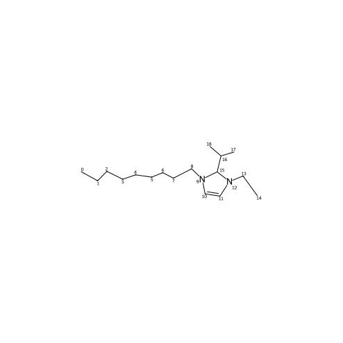 CCCCCCCCCN1C=CN(CC)C1C(C)C